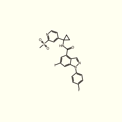 CS(=O)(=O)c1cc(C2(NC(=O)c3cc(I)cc4c3cnn4-c3ccc(F)cc3)CC2)ccn1